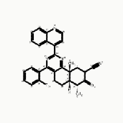 C[C@H]1C(=O)C(C#N)C[C@@]2(C)c3nc(-c4ccnc5ccccc45)nc(-c4ccccc4F)c3CC[C@@H]12